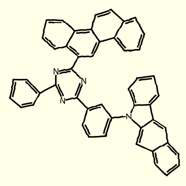 c1ccc(-c2nc(-c3cccc(-n4c5ccccc5c5cc6ccccc6cc54)c3)nc(-c3cc4c5ccccc5ccc4c4ccccc34)n2)cc1